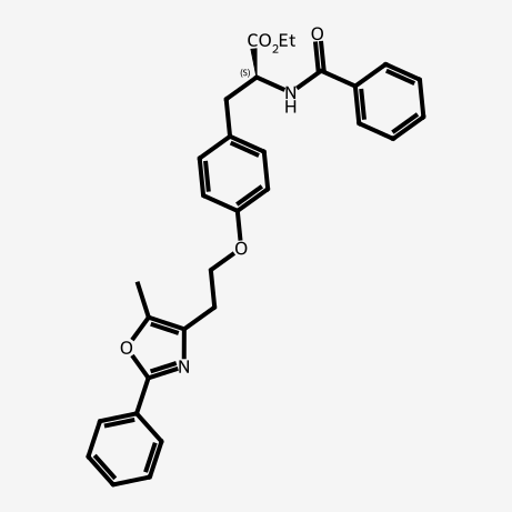 CCOC(=O)[C@H](Cc1ccc(OCCc2nc(-c3ccccc3)oc2C)cc1)NC(=O)c1ccccc1